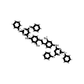 [Na][c]1cc(Nc2cc(Sc3ccccc3)nc(Sc3ccccc3)n2)ccc1C=Cc1ccc(Nc2cc(Sc3ccccc3)nc(Sc3ccccc3)n2)c[c]1[Na]